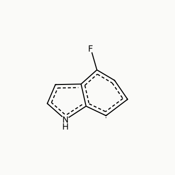 Fc1cc[c]c2[nH]ccc12